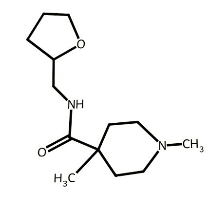 CN1CCC(C)(C(=O)NCC2CCCO2)CC1